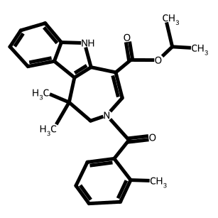 Cc1ccccc1C(=O)N1C=C(C(=O)OC(C)C)c2[nH]c3ccccc3c2C(C)(C)C1